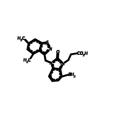 Bc1cccc2c1n(CCC(=O)O)c(=O)n2Cc1nsc2cc(C)cc(C)c12